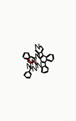 c1ccc(-c2nc(-c3ccccc3)nc(-n3c4ccccc4c4c5ccccc5c5c6ccncc6n(-c6ccccc6)c5c43)n2)cc1